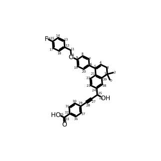 CC1(C)CC=C(c2ccc(OCc3ccc(F)cc3)cc2)c2ccc(C(O)C#Cc3ccc(C(=O)O)cc3)cc21